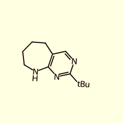 CC(C)(C)c1ncc2c(n1)NCCCC2